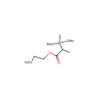 CCCCCCCCCCOC(=O)C(C)[Si](C)(OC)OC